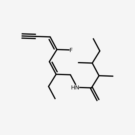 C#C/C=C(F)\C=C(\CC)CNC(=C)C(C)C(C)CC